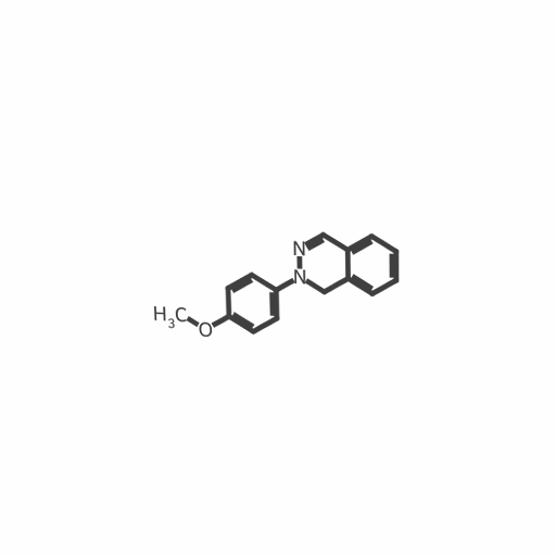 COc1ccc(N2Cc3ccccc3C=N2)cc1